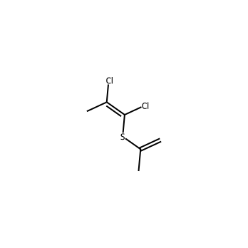 C=C(C)S/C(Cl)=C(\C)Cl